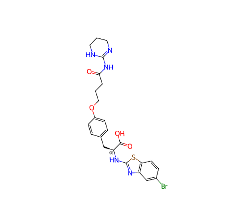 O=C(CCCOc1ccc(C[C@H](Nc2nc3cc(Br)ccc3s2)C(=O)O)cc1)NC1=NCCCN1